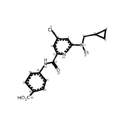 CCN(CC1CC1)c1cc(Cl)cc(C(=O)Nc2ccc(C(=O)O)cc2)n1